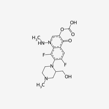 CNn1cc(OC(=O)O)c(=O)c2cc(F)c(N3CCN(C)CC3CO)c(F)c21